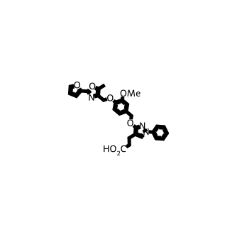 COc1cc(COc2nn(-c3ccccc3)cc2CCC(=O)O)ccc1OCc1nc(-c2ccco2)oc1C